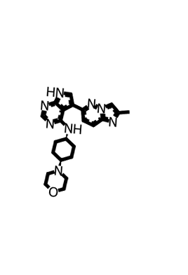 Cc1cn2nc(-c3c[nH]c4ncnc(N[C@H]5CC[C@H](N6CCOCC6)CC5)c34)ccc2n1